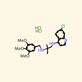 COc1cc(CNC(C)(C)CNc2ccnc3cc(Cl)ccc23)cc(OC)c1OC.Cl.Cl